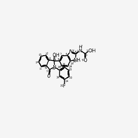 O=C(O)Nc1nc2cc(C3(O)c4ccccc4C(=O)N3c3cccc(F)c3)ccc2[nH]1